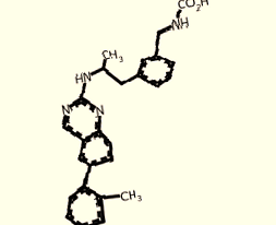 Cc1ccccc1-c1ccc2nc(NC(C)Cc3cccc(CNC(=O)O)c3)ncc2c1